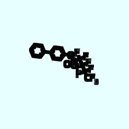 O=S(=O)(Oc1ccc(-c2ccccc2)cc1)C(F)(F)C(F)(F)C(F)(F)C(F)(F)F